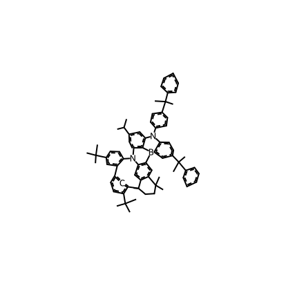 CC(C)c1cc2c3c(c1)N1c4cc5c(cc4B3c3cc(C(C)(C)c4ccccc4)ccc3N2c2ccc(C(C)(C)c3ccccc3)cc2)C(C)(C)CCC5(C)c2cc(ccc2C(C)(C)C)-c2cc(C(C)(C)C)ccc21